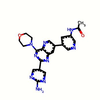 CC(=O)Nc1cncc(-c2cnc3c(N4CCOCC4)nc(-c4cnc(N)nc4)nc3c2)c1